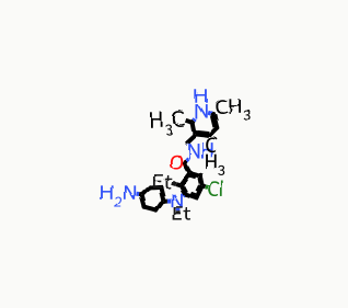 CCc1c(C(=O)NCC2=C(C)C=C(C)NC2C)cc(Cl)cc1N(CC)C1CCC(N)CC1